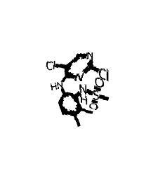 Cc1ccc(Nc2nc(Cl)ncc2Cl)c(NS(C)(=O)=O)c1C